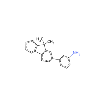 CC1(C)c2ccccc2-c2ccc(-c3cccc(N)c3)cc21